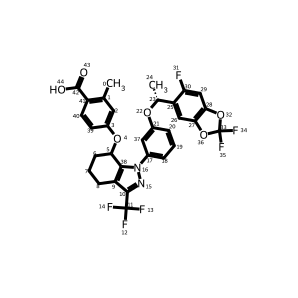 Cc1cc(OC2CCCc3c(C(F)(F)F)nn(-c4cccc(O[C@H](C)c5cc6c(cc5F)OC(F)(F)O6)c4)c32)ccc1C(=O)O